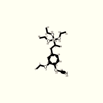 CCOc1cc(CC(C)[Si](OCC)(OCC)OCC)ccc1OC#N